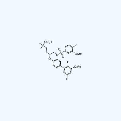 COc1cc(S(=O)(=O)N2CC(CCC(C)(C)C(=O)O)Oc3ccc(-c4cc(F)cc(OC)c4F)cc32)ccc1F